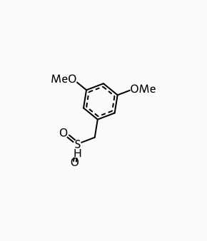 COc1cc(C[SH](=O)=O)cc(OC)c1